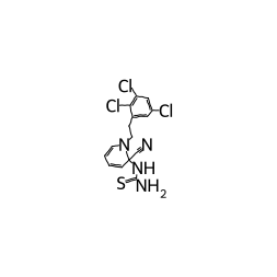 N#CC1(NC(N)=S)C=CC=CN1CCc1cc(Cl)cc(Cl)c1Cl